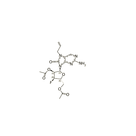 C=CCn1c(=O)n([C@H]2O[C@H](COC(C)=O)[C@@H](F)[C@H]2OC(C)=O)c2nc(N)ncc21